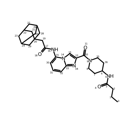 CCCC(=O)NC1CCN(C(=O)c2cn3c(NC(=O)CC45CC6CC(CC(C6)C4)C5)cccc3n2)CC1